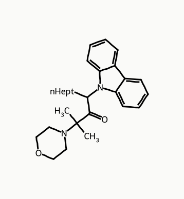 CCCCCCCC(C(=O)C(C)(C)N1CCOCC1)n1c2ccccc2c2ccccc21